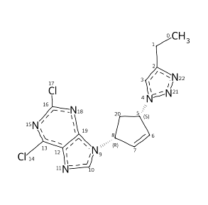 CCc1cn([C@@H]2C=C[C@H](n3cnc4c(Cl)nc(Cl)nc43)C2)nn1